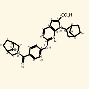 O=C(O)c1cc2cnc(Nc3ccc(C(=O)N4CC5CCC(C4)N5)cn3)nc2n1C1CC2CCC1C2